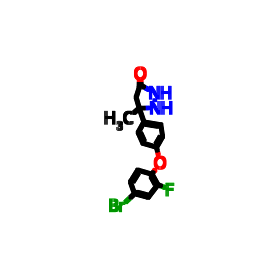 CC1(c2ccc(Oc3ccc(Br)cc3F)cc2)CC(=O)NN1